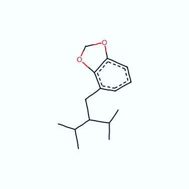 CC(C)C(Cc1cccc2c1OCO2)C(C)C